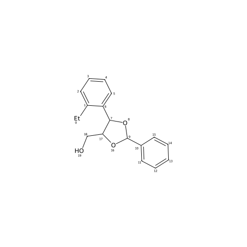 CCc1ccccc1C1OC(c2ccccc2)OC1CO